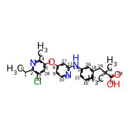 CCc1nc(C)c(Oc2ccnc(Nc3cccc(CC(C)(C)C(=O)O)c3)c2)cc1Cl